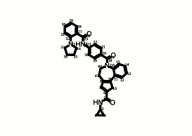 O=C(NC1CC1)C1=CC2=C(C1)c1ccccc1N(C(=O)c1ccc(NC(=O)c3ccccc3N3CCCC3)cc1)CC2